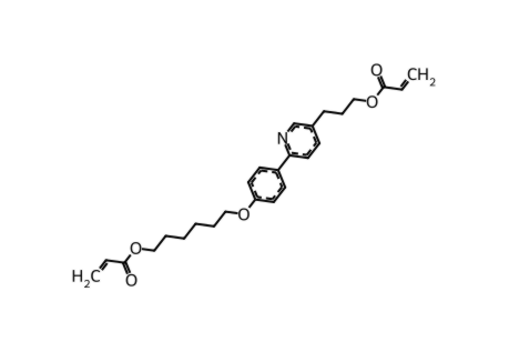 C=CC(=O)OCCCCCCOc1ccc(-c2ccc(CCCOC(=O)C=C)cn2)cc1